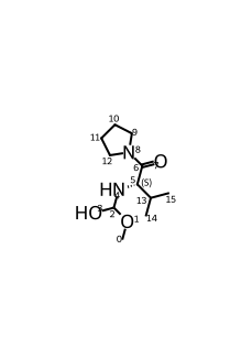 COC(O)N[C@H](C(=O)N1CCCC1)C(C)C